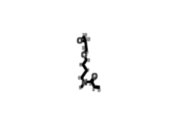 C=CC(=O)N(C)CCCCOCC1CO1